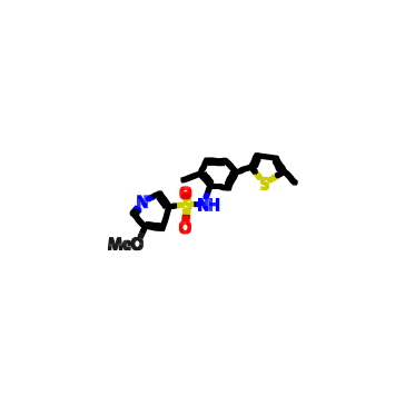 COc1cncc(S(=O)(=O)Nc2cc(-c3ccc(C)s3)ccc2C)c1